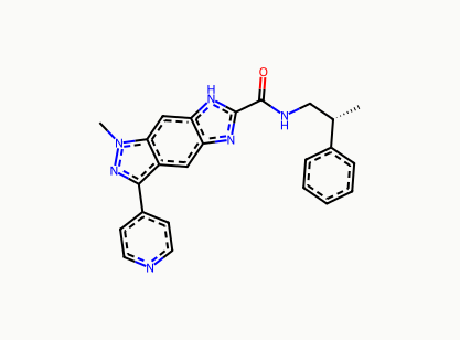 C[C@@H](CNC(=O)c1nc2cc3c(-c4ccncc4)nn(C)c3cc2[nH]1)c1ccccc1